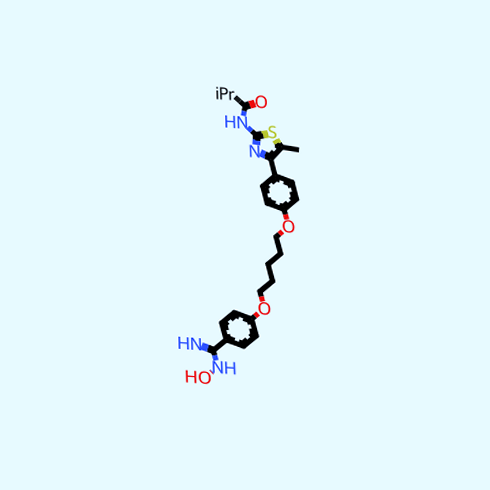 Cc1sc(NC(=O)C(C)C)nc1-c1ccc(OCCCCCOc2ccc(C(=N)NO)cc2)cc1